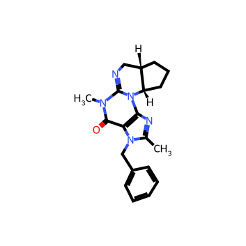 Cc1nc2c(n1Cc1ccccc1)C(=O)N(C)C1=NC[C@@H]3CCC[C@@H]3N12